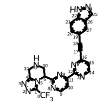 FC(F)(F)c1nnc2n1C(c1nccc(-c3nccc(C#Cc4ccc5[nH]ncc5c4)n3)n1)CNC2